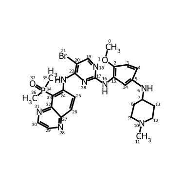 COc1ccc(NC2CCN(C)CC2)cc1Nc1ncc(Br)c(Nc2ccc3nccnc3c2P(C)(C)=O)n1